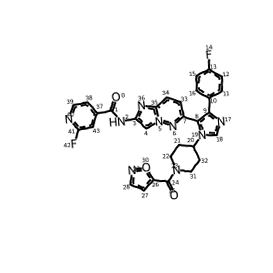 O=C(Nc1cn2nc(-c3c(-c4ccc(F)cc4)ncn3C3CCN(C(=O)c4ccno4)CC3)ccc2n1)c1ccnc(F)c1